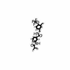 Cc1cc(CNC(=O)c2ccnc(NC(=O)C(C)C)c2)ccc1OC(F)(F)F